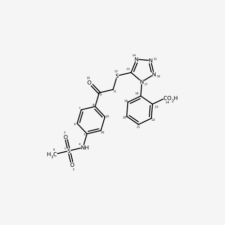 CS(=O)(=O)Nc1ccc(C(=O)CSc2nnnn2-c2ccccc2C(=O)O)cc1